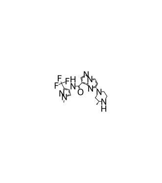 C[C@H]1CN(c2ccn3ncc(C(=O)Nc4cn(C)nc4C(F)(F)F)c3n2)CCN1